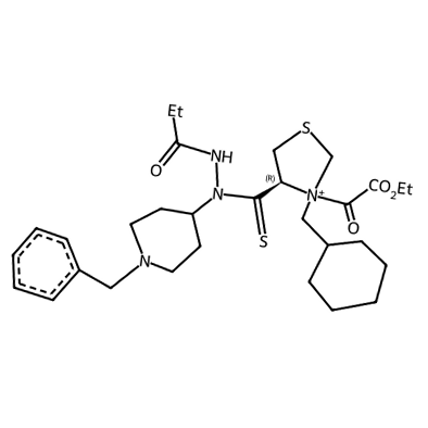 CCOC(=O)C(=O)[N+]1(CC2CCCCC2)CSC[C@@H]1C(=S)N(NC(=O)CC)C1CCN(Cc2ccccc2)CC1